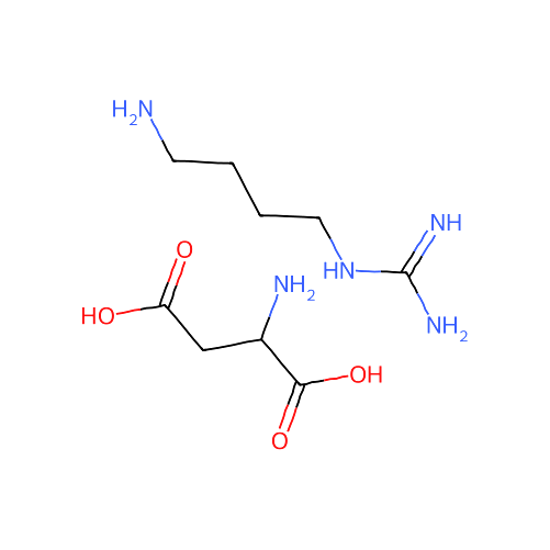 N=C(N)NCCCCN.NC(CC(=O)O)C(=O)O